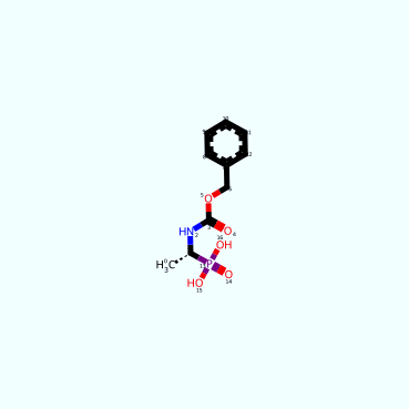 C[C@H](NC(=O)OCc1ccccc1)P(=O)(O)O